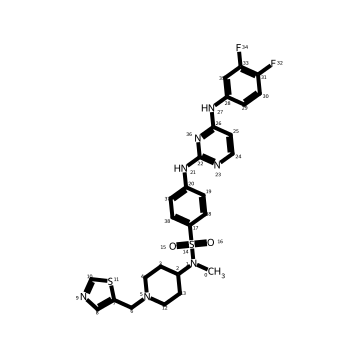 CN(C1CCN(Cc2cncs2)CC1)S(=O)(=O)c1ccc(Nc2nccc(Nc3ccc(F)c(F)c3)n2)cc1